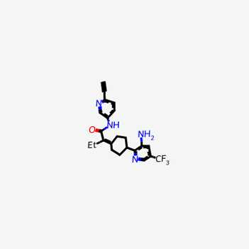 C#Cc1ccc(NC(=O)C(CC)=C2CCC(c3ncc(C(F)(F)F)cc3N)CC2)cn1